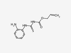 C=CCOC(=O)NC(=S)Nc1ccccc1N